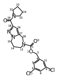 O=C(OCc1cc(Cl)cc(Cl)c1)N1CCCn2nc(C(=O)N3CCCC3)cc2C1